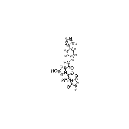 CC1=CC(=O)N([C@H](C(=O)N2C[C@H](O)C[C@H]2C(=O)NCc2ccc(-c3scnc3C)cc2)C(C)C)C1=O